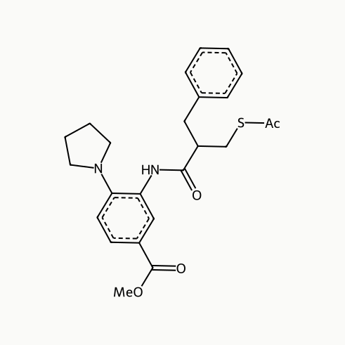 COC(=O)c1ccc(N2CCCC2)c(NC(=O)C(CSC(C)=O)Cc2ccccc2)c1